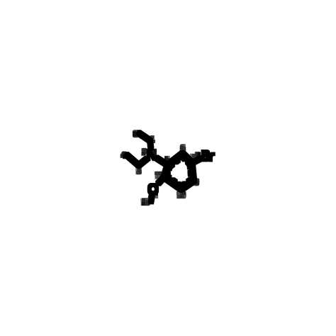 CCN(CC)c1cc(Br)ccc1OC